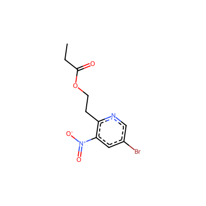 CCC(=O)OCCc1ncc(Br)cc1[N+](=O)[O-]